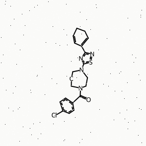 O=C(c1ccc(Cl)cc1)N1CCCN(c2nc(C3=CCCC=C3)ns2)CC1